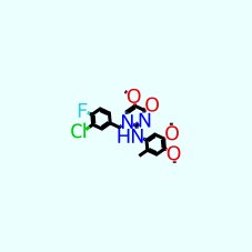 COc1cc(C)c(Nc2nc(=O)c(OC)cn2Cc2ccc(F)c(Cl)c2)cc1OC